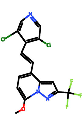 COc1ccc(C=Cc2c(Cl)cncc2Cl)c2cc(C(F)(F)F)nn12